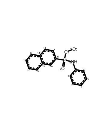 CCOP(=O)(Nc1ccccc1)c1ccc2ccccc2c1